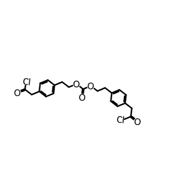 O=C(Cl)Cc1ccc(CCOC(=O)OCCc2ccc(CC(=O)Cl)cc2)cc1